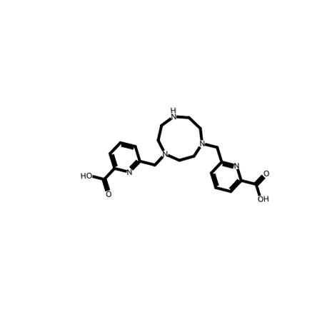 O=C(O)c1cccc(CN2CCNCCN(Cc3cccc(C(=O)O)n3)CC2)n1